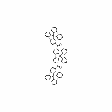 O=C(c1ccc2c(c1)C1(c3ccccc3-c3ccccc31)c1ccccc1-2)c1ccc2c(c1)C1(c3ccccc3-c3ccccc31)c1cc(C(=O)c3ccc4c(c3)C3(c5ccccc5-c5ccccc53)c3ccccc3-4)ccc1-2